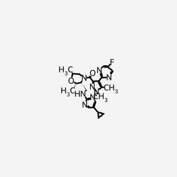 Cc1c(-c2ncc(F)cn2)c(C(=O)N2C[C@@H](C)O[C@@H](C)[C@H]2CNc2ncc(C3CC3)cn2)nn1C